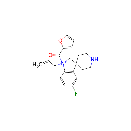 C=CC[N+]1(C(=O)c2ccco2)CC2(CCNCC2)c2cc(F)ccc21